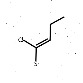 CC/C=C(/[S])Cl